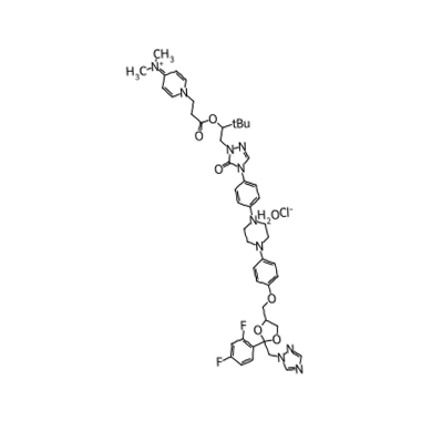 C[N+](C)=c1ccn(CCC(=O)OC(Cn2ncn(-c3ccc(N4CCN(c5ccc(OCC6COC(Cn7cncn7)(c7ccc(F)cc7F)O6)cc5)CC4)cc3)c2=O)C(C)(C)C)cc1.O.[Cl-]